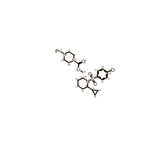 CC(C)N1CCN(C(=O)OC[C@H]2CCCC(C3CC3)N2S(=O)(=O)c2ccc(Cl)cc2)CC1